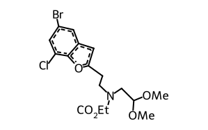 CCOC(=O)N(CCc1cc2cc(Br)cc(Cl)c2o1)CC(OC)OC